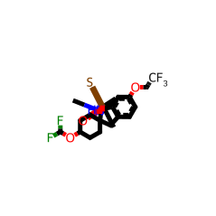 CN1C(=O)C2(NC1=S)c1cc(OCC(F)(F)F)ccc1CC21CCC(OC(F)F)CC1